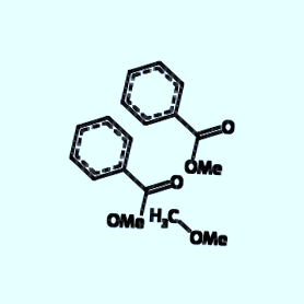 COC.COC(=O)c1ccccc1.COC(=O)c1ccccc1